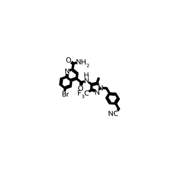 Cc1c(NC(=O)c2cc(C(N)=O)nc3ccc(Br)cc23)c(C(F)(F)F)nn1Cc1ccc(CC#N)cc1